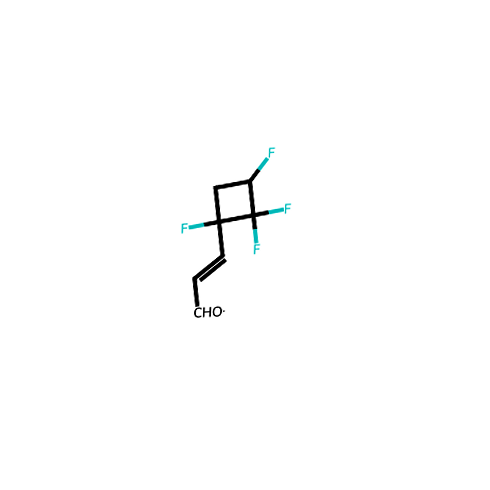 O=[C]C=CC1(F)CC(F)C1(F)F